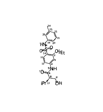 CCOc1cc(NC(=O)[C@@H](CO)C(C)C)ccc1S(=O)(=O)Nc1cccc(C)c1